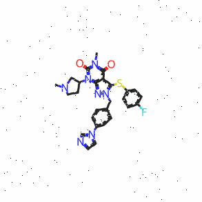 CN1CCC(n2c(=O)n(C)c(=O)c3c(Sc4ccc(F)cc4)n(Cc4ccc(-n5ccnc5)cc4)nc32)C1